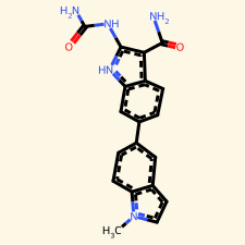 Cn1ccc2cc(-c3ccc4c(C(N)=O)c(NC(N)=O)[nH]c4c3)ccc21